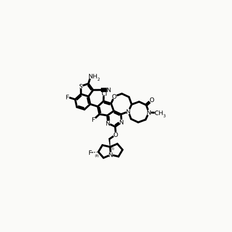 CN1CCCN2c3nc(OC[C@@]45CCCN4C[C@H](F)C5)nc4c(F)c(-c5ccc(F)c6sc(N)c(C#N)c56)c(Cl)c(c34)OCCC2CC1=O